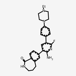 CCN1CCN(c2ccc(-c3cc(-c4ccc5c(c4)CCCNC5=O)c(N)nc3F)cc2)CC1